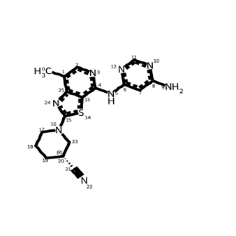 Cc1cnc(Nc2cc(N)ncn2)c2sc(N3CCC[C@@H](C#N)C3)nc12